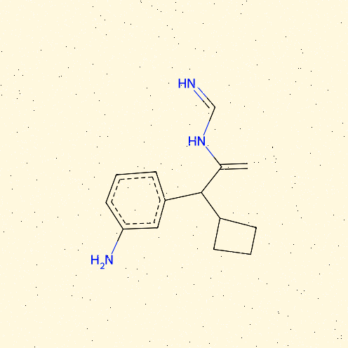 C=C(NC=N)C(c1cccc(N)c1)C1CCC1